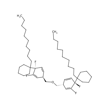 CCCCCCCCCCC1([C@@]2(F)C=C[C@@H](COC[C@@H]3C=C[C@](F)(C4(CCCCCCCCCC)CCCCC4)C(F)=C3)C=C2F)CCCCC1